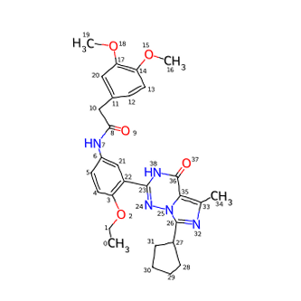 CCOc1ccc(NC(=O)Cc2ccc(OC)c(OC)c2)cc1-c1nn2c(C3CCCC3)nc(C)c2c(=O)[nH]1